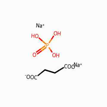 O=C([O-])CCC(=O)[O-].O=P(O)(O)O.[Na+].[Na+]